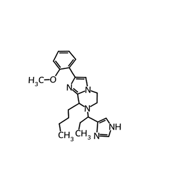 CCCCC1c2nc(-c3ccccc3OC)cn2CCN1C(CC)c1c[nH]cn1